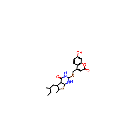 CCC(C)CC1C(C)SC2NC(SCc3cc(=O)oc4cc(O)ccc34)NC(=O)C21